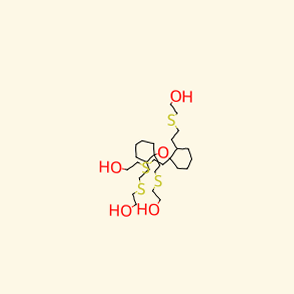 OCCSCCC1CCCCC1(CCSCCO)OC1(CCSCCO)CCCCC1CCSCCO